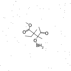 BOC(C)(C(C)=O)C(C)(CC)C(=O)OC